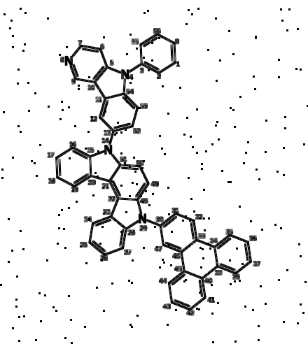 c1ccc(-n2c3ccncc3c3cc(-n4c5ccccc5c5c6c7ccccc7n(-c7ccc8c9ccccc9c9ccccc9c8c7)c6ccc54)ccc32)cc1